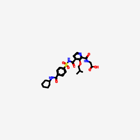 CC(C)COc1c(C(=O)NS(=O)(=O)c2ccc(C(=O)NC3CCCCC3)cc2)ccnc1C(=O)NCC(=O)O